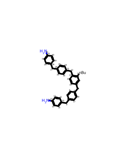 CCCCc1cc(Cc2ccc(Cc3ccc(N)cc3)cc2)ccc1Cc1ccc(Cc2ccc(N)cc2)cc1